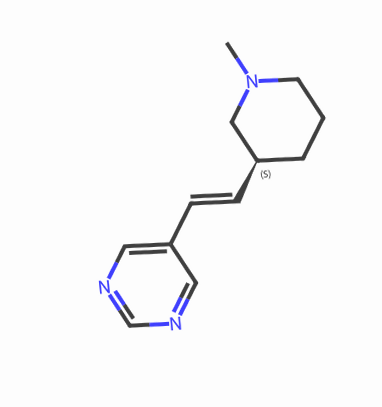 CN1CCC[C@@H](C=Cc2cncnc2)C1